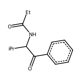 CCC(=O)NC(C(=O)c1ccccc1)C(C)C